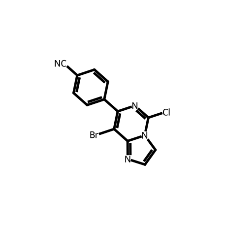 N#Cc1ccc(-c2nc(Cl)n3ccnc3c2Br)cc1